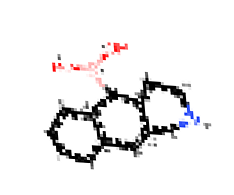 OB(O)c1c2ccccc2cc2cnccc12